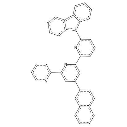 c1ccc(-c2cc(-c3ccc4ccccc4c3)cc(-c3cccc(-n4c5ccccc5c5cnccc54)n3)n2)nc1